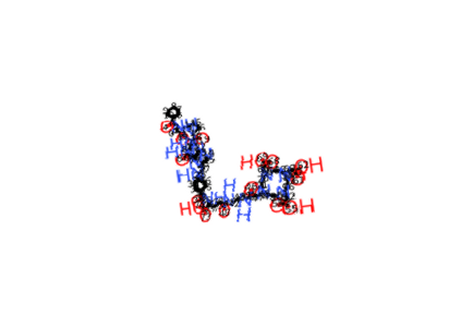 C[C@@H](NC(=O)c1ccccc1)C(=O)N1CCC[C@H]1C(=O)Nc1nc2ncc(CNc3ccc(C(=O)N[C@@H](CCC(=O)NCCNC(=O)CN4CCN(CC(=O)O)CCN(CC(=O)O)CCN(CC(=O)O)CC4)C(=O)O)cc3)nc2c(=O)[nH]1